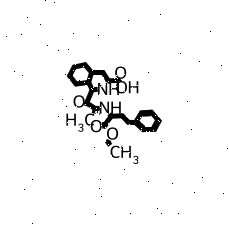 CCOC(=O)C(CCc1ccccc1)N[C@@H](C)C(=O)C1NC(C(=O)O)CC2CCCCC21